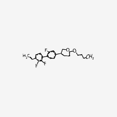 C=Cc1ccc(-c2ccc(C3CCC(OCCCC)OC3)cc2F)c(F)c1F